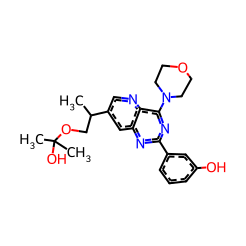 CC(COC(C)(C)O)c1cnc2c(N3CCOCC3)nc(-c3cccc(O)c3)nc2c1